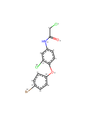 O=C(CCl)Nc1ccc(Oc2ccc(Br)cc2)c(Cl)c1